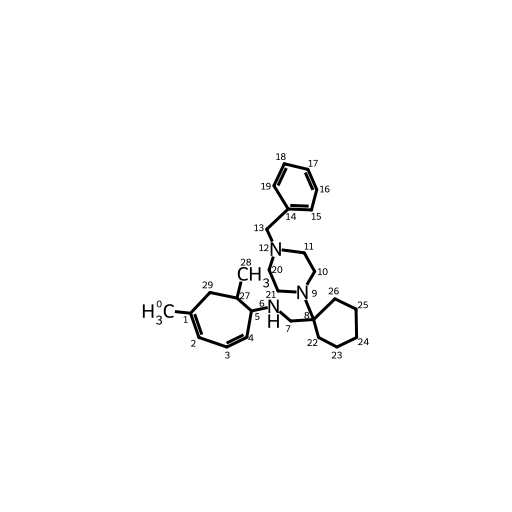 CC1=CC=CC(NCC2(N3CCN(Cc4ccccc4)CC3)CCCCC2)C(C)C1